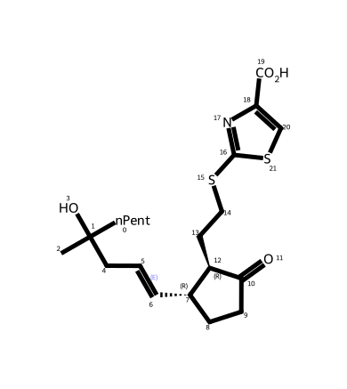 CCCCCC(C)(O)C/C=C/[C@H]1CCC(=O)[C@@H]1CCSc1nc(C(=O)O)cs1